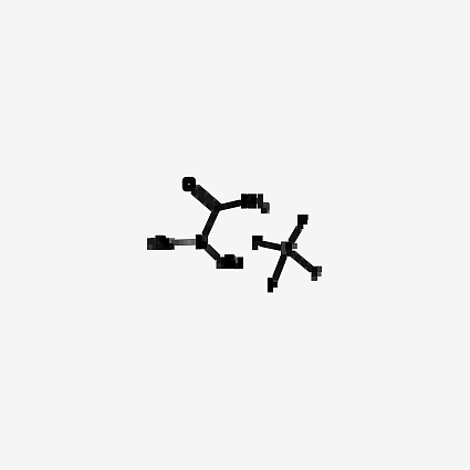 CCCCN(CCCC)C(N)=O.F[B-](F)(F)F